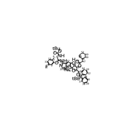 CC(C)(C)OC(=O)N[C@@H](Cc1ccc(F)cc1)C(=O)Nc1ncnn2c([C@]3(C#N)O[C@H](CO[Si](c4ccccc4)(c4ccccc4)C(C)(C)C)[C@@H](OC(=O)CC4CCCCC4)[C@H]3O)ccc12